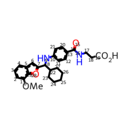 COc1cccc2cc(C(Nc3ccc(C(=O)NCCC(=O)O)cc3)C3CCCCC3)oc12